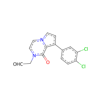 O=CCn1ccn2ccc(-c3ccc(Cl)c(Cl)c3)c2c1=O